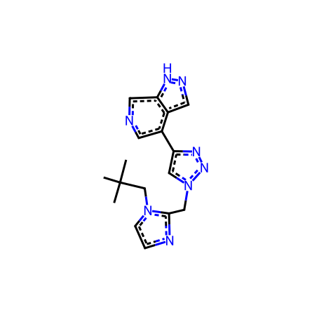 CC(C)(C)Cn1ccnc1Cn1cc(-c2cncc3[nH]ncc23)nn1